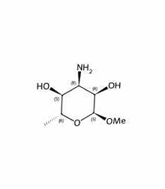 CO[C@H]1O[C@H](C)[C@@H](O)[C@@H](N)[C@H]1O